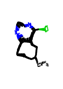 FC(F)(F)C1CCc2ncnc(Cl)c2C1